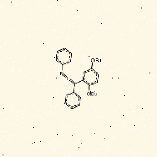 CC(C)COc1ccc(OCC(C)C)c(C(=C=Nc2ccccc2)c2ccccc2)c1